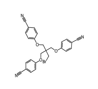 N#Cc1ccc(OCC(CBr)(COc2ccc(C#N)cc2)COc2ccc(C#N)cc2)cc1